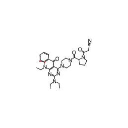 CCN(CC)c1nc(N(CC)CC)c(C(=O)c2ccccc2)c(N2CCN(C(=O)C3CCCN3C(=O)CC#N)CC2)n1